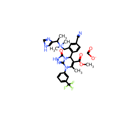 COC(=O)C1=C(C)N(c2cccc(C(F)(F)F)c2)c2n[nH]c(=O)n2C1c1ccc(C#N)cc1C[N+](C)(C)C(C)c1c[nH]cn1.O=C[O-]